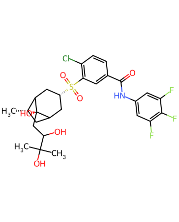 C[C@H]1CC2C[C@@H](S(=O)(=O)c3cc(C(=O)Nc4cc(F)c(F)c(F)c4)ccc3Cl)CC1[C@@]2(O)CC(O)C(C)(C)O